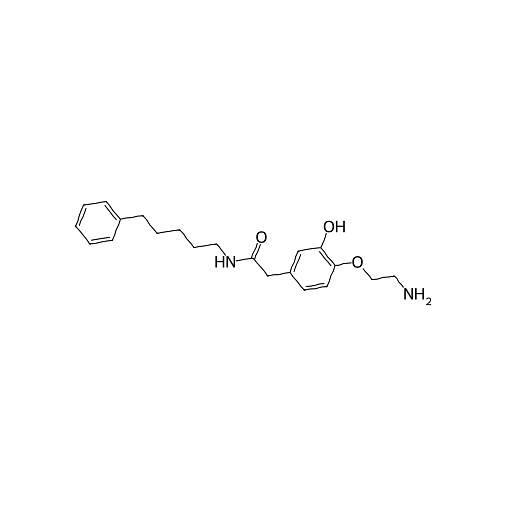 NCCOc1ccc(CC(=O)NCCCCCc2ccccc2)cc1O